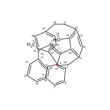 C[C@H](/N=C(\c1ccccc1)c1c2ccc(c1O)CCc1ccc(cc1)CC2)c1ccccc1